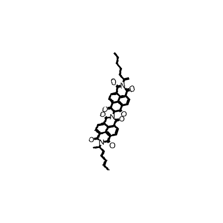 CCCCCC(C)N1C(=O)c2ccc3c4c(ccc(c24)C1=O)C(=O)C(N1C(=O)c2ccc4c5c(ccc(c25)C1=O)C(=O)N(C(C)CCCCC)C4=O)C3=O